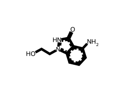 Nc1cccc2c1c(=O)[nH]n2CCO